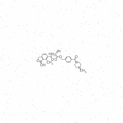 Cc1c(C(=O)N[C@H](C(=O)OCc2ccc(C(=O)N3CCN(C)CC3)cc2)C(C)C)ccc2c1B(O)OC2